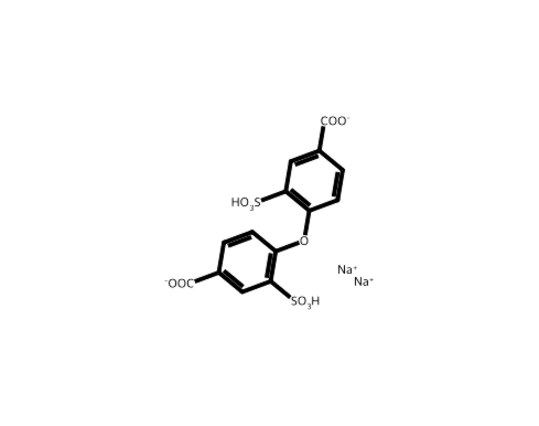 O=C([O-])c1ccc(Oc2ccc(C(=O)[O-])cc2S(=O)(=O)O)c(S(=O)(=O)O)c1.[Na+].[Na+]